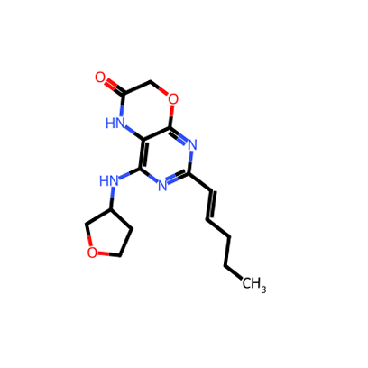 CCC/C=C/c1nc(NC2CCOC2)c2c(n1)OCC(=O)N2